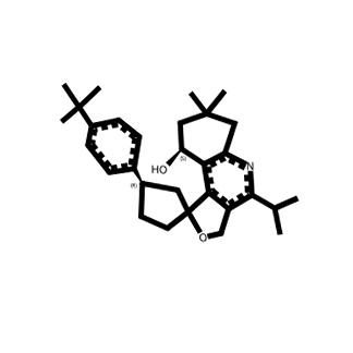 CC(C)c1nc2c(c3c1COC31CC[C@@H](c3ccc(C(C)(C)C)cc3)C1)[C@@H](O)CC(C)(C)C2